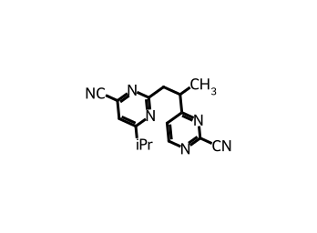 CC(C)c1cc(C#N)nc(CC(C)c2ccnc(C#N)n2)n1